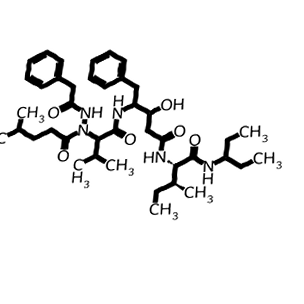 CCC(CC)NC(=O)[C@@H](NC(=O)CC(O)C(Cc1ccccc1)NC(=O)C(C(C)C)N(NC(=O)Cc1ccccc1)C(=O)CCC(C)C)[C@@H](C)CC